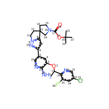 CC(Oc1cc(-c2cc3n(n2)CCC32CCN(C(=O)OC(C)(C)C)C2)cnc1N)c1ncc(Cl)cc1F